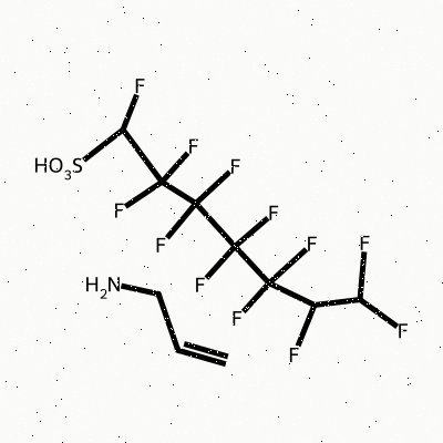 C=CCN.O=S(=O)(O)C(F)C(F)(F)C(F)(F)C(F)(F)C(F)(F)C(F)C(F)F